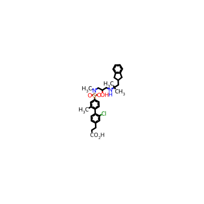 Cc1cc(S(=O)(=O)N(C)CC(O)CNC(C)(C)CC2Cc3ccccc3C2)ccc1-c1ccc(CCC(=O)O)cc1Cl